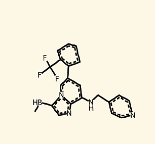 CBc1cnc2c(NCc3ccncc3)cc(-c3ccccc3C(F)(F)F)cn12